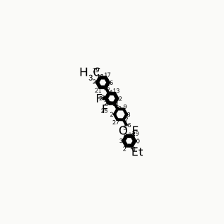 CCc1ccc(OCC2CCC(c3ccc(-c4ccc(C)cc4)c(F)c3F)CC2)c(F)c1